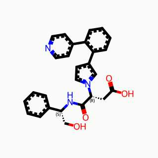 O=C(O)C[C@H](C(=O)N[C@H](CO)c1ccccc1)n1ccc(-c2ccccc2-c2ccncc2)c1